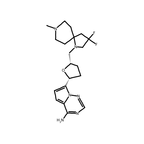 CN1CCC2(CC1)CC(F)(F)CN2C[C@@H]1CC[C@H](c2ccc3c(N)ncnn23)O1